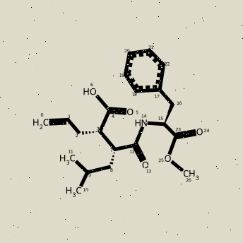 C=CC[C@H](C(=O)O)[C@@H](CC(C)C)C(=O)N[C@@H](Cc1ccccc1)C(=O)OC